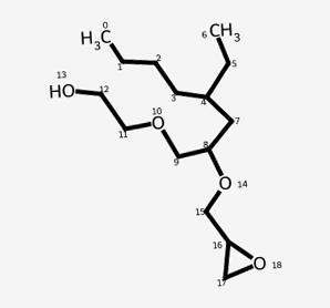 CCCCC(CC)CC(COCCO)OCC1CO1